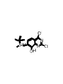 C[SiH](Cc1ccc2c(Cl)nc(Cl)nc2c1O)C(C)(C)C